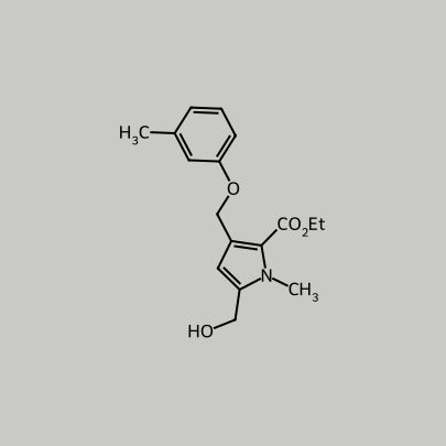 CCOC(=O)c1c(COc2cccc(C)c2)cc(CO)n1C